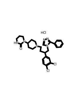 Cl.O=C1NCCCN1C1CCN(CCC(Cn2cnnc2-c2ccccc2)c2ccc(Cl)c(Cl)c2)CC1